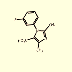 Cc1nc(C)n(-c2cccc(F)c2)c1C(=O)O